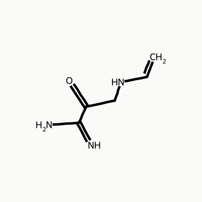 C=CNCC(=O)C(=N)N